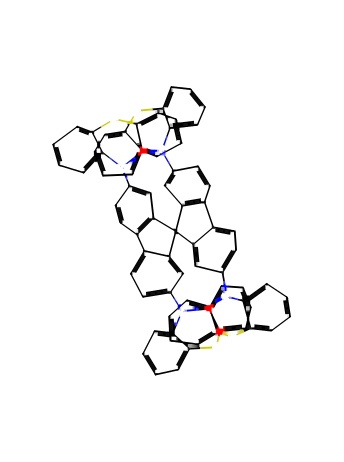 c1ccc2c(c1)Sc1ccccc1N2c1ccc2c(c1)C1(c3cc(N4c5ccccc5Sc5ccccc54)ccc3-2)c2cc(N3c4ccccc4Sc4ccccc43)ccc2-c2ccc(N3c4ccccc4Sc4ccccc43)cc21